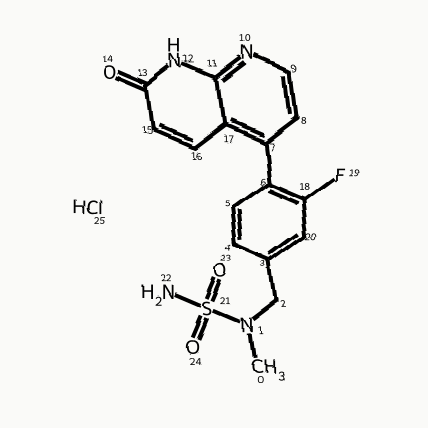 CN(Cc1ccc(-c2ccnc3[nH]c(=O)ccc23)c(F)c1)S(N)(=O)=O.Cl